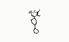 C/C(F)=C(F)\C(=C/C(C)C)C1CCC(C2CCCCC2)CC1